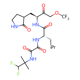 CC(C)C[C@H](NC(=O)C(=O)NC(C)(C)C(F)F)C(=O)N[C@@H](CC1CCNC1=O)C(=O)COC(F)(F)F